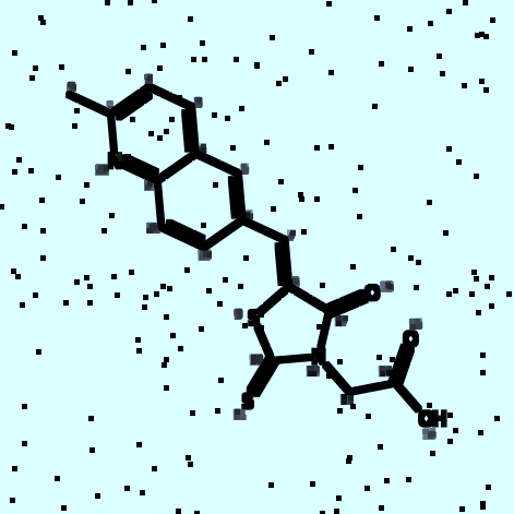 Cc1ccc2cc(/C=C3\SC(=S)N(CC(=O)O)C3=O)ccc2n1